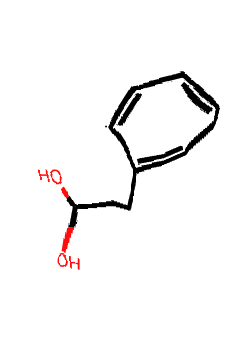 OC(O)Cc1[c]cccc1